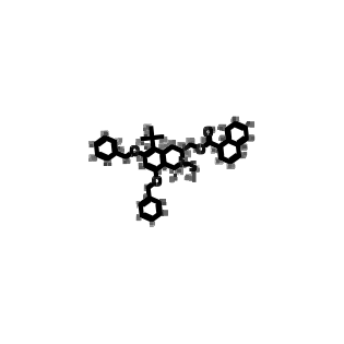 C[C@@H]1c2c(OCc3ccccc3)cc(OCc3ccccc3)c(C(C)(C)C)c2C[C@@H](COC(=O)c2cccc3ccccc23)N1SI